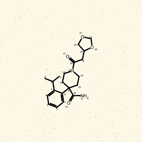 CC(C)c1ccccc1C1(C(N)=O)CCN(C(=O)CC2COCO2)CC1